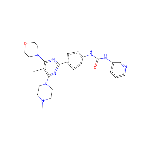 Cc1c(N2CCOCC2)nc(-c2ccc(NC(=O)Nc3cccnc3)cc2)nc1N1CCN(C)CC1